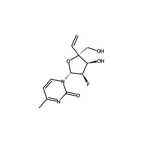 C=C[C@]1(CO)O[C@@H](n2ccc(C)nc2=O)[C@H](F)[C@@H]1O